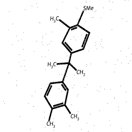 CSc1ccc(C(C)(C)c2ccc(C)c(C)c2)cc1C